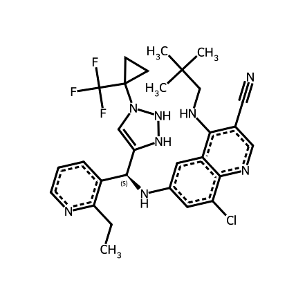 CCc1ncccc1[C@H](Nc1cc(Cl)c2ncc(C#N)c(NCC(C)(C)C)c2c1)C1=CN(C2(C(F)(F)F)CC2)NN1